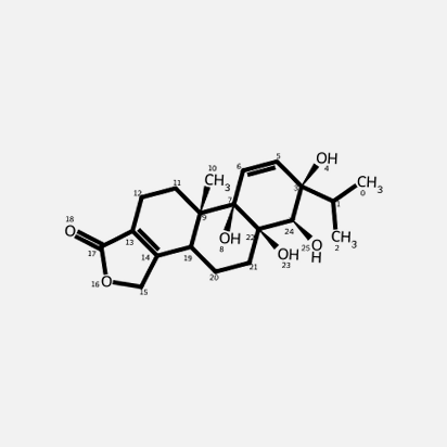 CC(C)[C@@]1(O)C=C[C@@]2(O)[C@@]3(C)CCC4=C(COC4=O)C3CC[C@@]2(O)[C@@H]1O